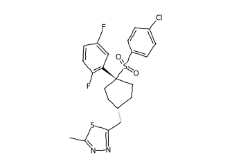 Cc1nnc(C[C@H]2CC[C@@](c3cc(F)ccc3F)(S(=O)(=O)c3ccc(Cl)cc3)CC2)s1